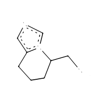 NCC1CCCc2cncn21